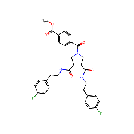 COC(=O)c1ccc(C(=O)N2CC(C(=O)NCCc3ccc(F)cc3)C(C(=O)NCCc3ccc(F)cc3)C2)cc1